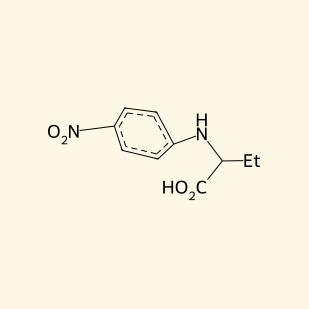 CCC(Nc1ccc([N+](=O)[O-])cc1)C(=O)O